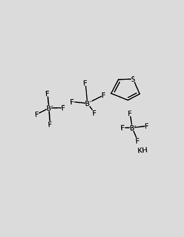 F[B-](F)(F)F.F[B-](F)(F)F.F[B-](F)(F)F.[KH].c1ccsc1